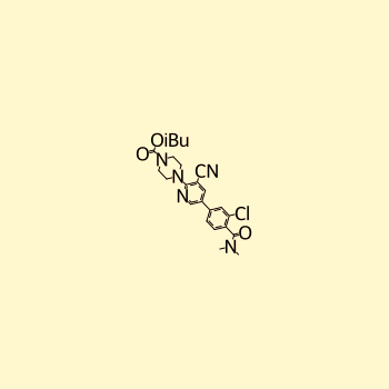 CC(C)COC(=O)N1CCN(c2ncc(-c3ccc(C(=O)N(C)C)c(Cl)c3)cc2C#N)CC1